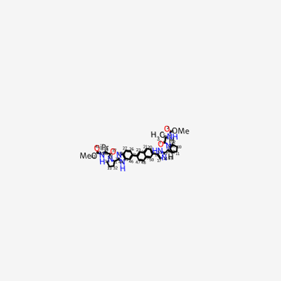 COC(=O)N[C@@H](C)C(=O)N1[C@@H]2CC[C@@H](C2)[C@H]1c1ncc(-c2ccc3cc(-c4ccc5nc(C6CCCN6C(=O)[C@@H](NC(=O)OC)C(C)C)[nH]c5c4)ccc3c2)[nH]1